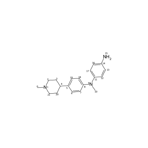 CN1CCC(c2ccc(N(C)c3ccc(N)cc3)cc2)CC1